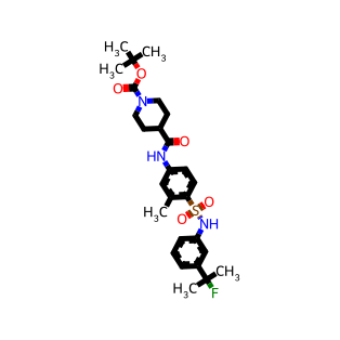 Cc1cc(NC(=O)C2CCN(C(=O)OC(C)(C)C)CC2)ccc1S(=O)(=O)Nc1cccc(C(C)(C)F)c1